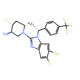 C[C@H](c1ccc(C(F)(F)F)cc1)n1c(N2CC[C@@H](F)[C@H](N)C2)nc2cc(F)c(F)cc21